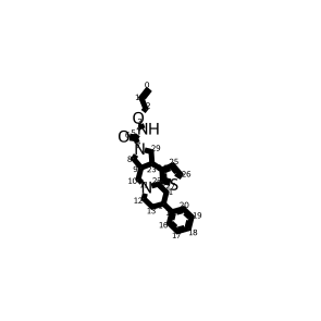 C=CCONC(=O)N1CC(CN2CCC(c3ccccc3)CC2)C(c2ccsc2)C1